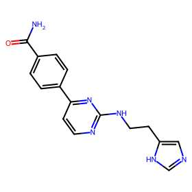 NC(=O)c1ccc(-c2ccnc(NCCc3cnc[nH]3)n2)cc1